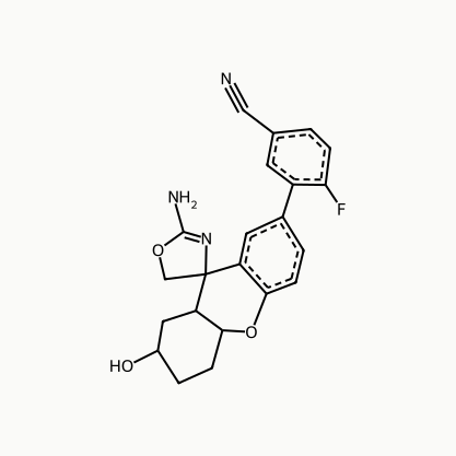 N#Cc1ccc(F)c(-c2ccc3c(c2)C2(COC(N)=N2)C2CC(O)CCC2O3)c1